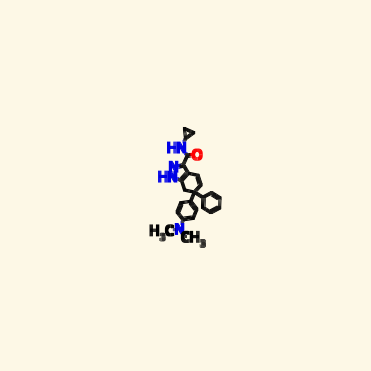 CN(C)c1ccc(C2(c3ccccc3)C=Cc3c(C(=O)NC4CC4)n[nH]c3C2)cc1